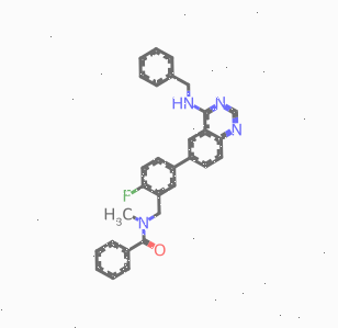 CN(Cc1cc(-c2ccc3ncnc(NCc4ccccc4)c3c2)ccc1F)C(=O)c1ccccc1